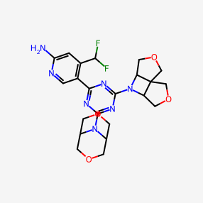 Nc1cc(C(F)F)c(-c2nc(N3C4COCC3COC4)nc(N3C4COCC45COCC35)n2)cn1